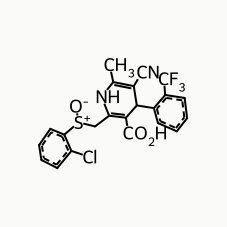 CC1=C(C#N)C(c2ccccc2C(F)(F)F)C(C(=O)O)=C(C[S+]([O-])c2ccccc2Cl)N1